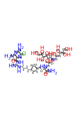 N=C(NCCCCc1ccc(CC[C@H](NCCCN(C[C@H](O)C[C@H](O)[C@H](O)CO)C[C@H](O)[C@@H](O)[C@H](O)[C@H](O)CO)C(N)=O)cc1)NC(=O)c1nc(Cl)c(N)nc1N